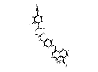 N#Cc1ccc(N2CCN(Cc3ccc(Cc4ccc5c6c(cccc46)C(=O)N5)cc3)CC2)c(F)c1